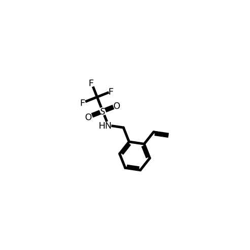 C=Cc1ccccc1CNS(=O)(=O)C(F)(F)F